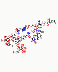 CCNC(=O)COCC(=O)NCCOCCOCCn1cc(CNC(=O)CCCCCO[C@H]2[C@@H](O)[C@@H](O)[C@@H](OC)O[C@@H]2CO[C@H]2O[C@H](CO[C@H]3O[C@H](CO)[C@@H](O)[C@@H](O)[C@H]3O)[C@@H](OCCCCCC(=O)NCCOCCOCCNC(=O)C3CCC(CN4C(=O)C=CC4=O)CC3)[C@@H](O)[C@H]2O)nn1